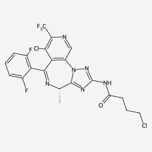 C[C@@H]1N=C(c2c(F)cccc2F)c2c(cnc(C(F)(F)F)c2Cl)-n2nc(NC(=O)CCCCl)nc21